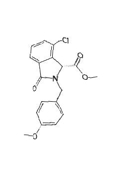 COC(=O)[C@H]1c2c(Cl)cccc2C(=O)N1Cc1ccc(OC)cc1